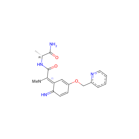 CN/C(C(=O)N[C@H](C)C(N)=O)=C1/C=C(OCc2ccccn2)C=CC1=N